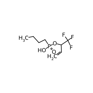 C=CC(OP(=O)(O)CCCC)C(F)(F)F